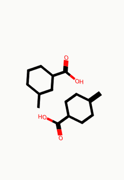 C=C1CCC(C(=O)O)CC1.CC1CCCC(C(=O)O)C1